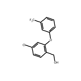 OCc1ccc(Cl)cc1Oc1cccc(C(F)(F)F)c1